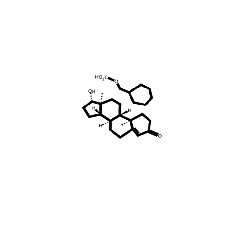 C[C@]12CC[C@H]3[C@@H](CCC4=CC(=O)CC[C@@]43C)[C@@H]1CC[C@@H]2O.O=C(O)OCC1CCCCC1